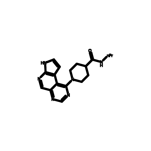 CCCNC(=O)C1CCN(c2ncnc3cnc4[nH]ccc4c23)CC1